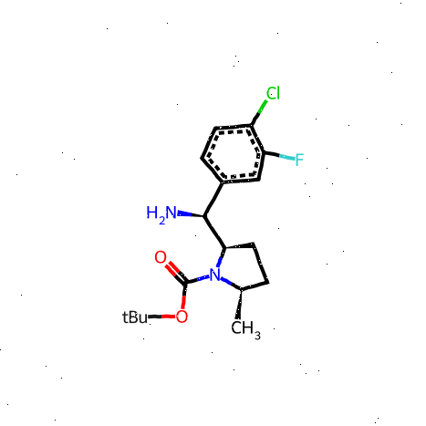 C[C@@H]1CC[C@H]([C@@H](N)c2ccc(Cl)c(F)c2)N1C(=O)OC(C)(C)C